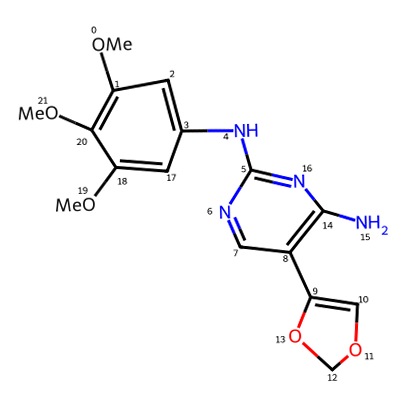 COc1cc(Nc2ncc(C3=COCO3)c(N)n2)cc(OC)c1OC